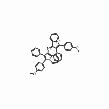 COc1ccc(C2=C(c3ccccc3)/C(=N\c3c(-c4ccccc4)c(-c4ccc(OC)cc4)n4ccccc34)c3cccc[n+]32)cc1